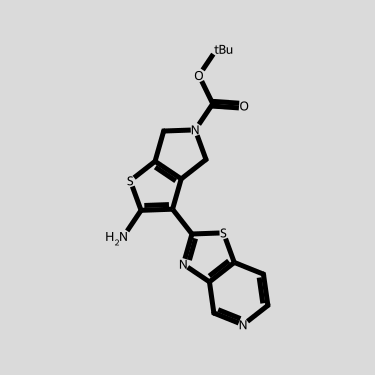 CC(C)(C)OC(=O)N1Cc2sc(N)c(-c3nc4cnccc4s3)c2C1